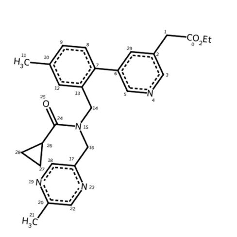 CCOC(=O)Cc1cncc(-c2ccc(C)cc2CN(Cc2cnc(C)cn2)C(=O)C2CC2)c1